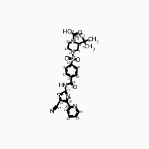 CC(C)(C)C1CN(S(=O)(=O)c2ccc(C(=O)Nc3nc(-c4ccccn4)c(C#N)s3)cc2)CCN1C(=O)O